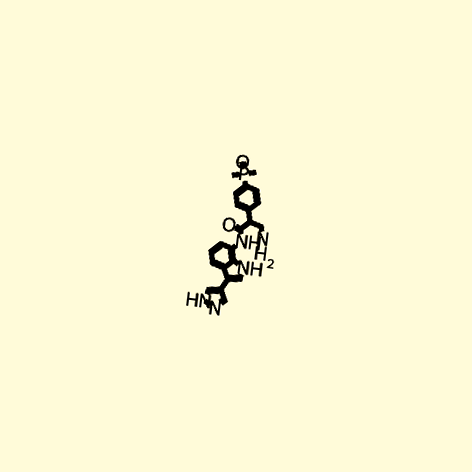 CP(C)(=O)c1ccc(C(CN)C(=O)Nc2cccc3c(-c4cn[nH]c4)c[nH]c23)cc1